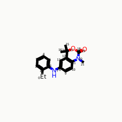 CCc1ccccc1Nc1ccc2c(c1)C(C)(C)OC(=O)N2C